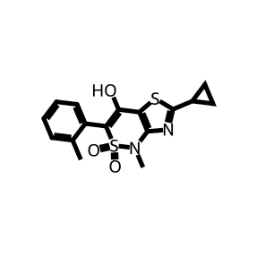 Cc1ccccc1C1=C(O)c2sc(C3CC3)nc2N(C)S1(=O)=O